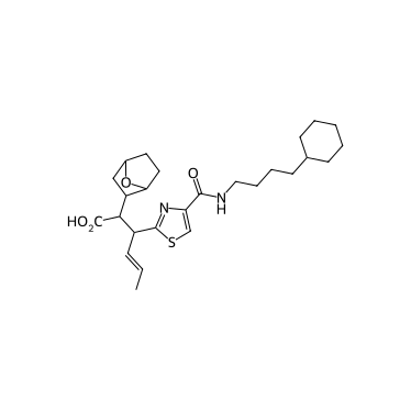 CC=CC(c1nc(C(=O)NCCCCC2CCCCC2)cs1)C(C(=O)O)C1CC2CCC1O2